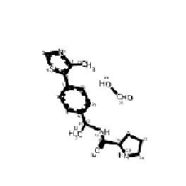 Cc1ncsc1-c1ccc([C@H](C)NC(=O)C2CCCN2)cc1.O=CO